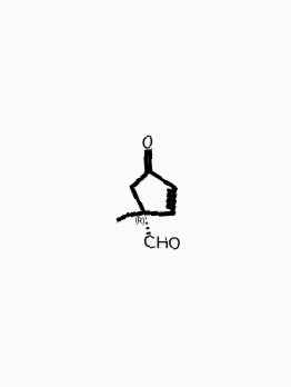 C[C@]1(C=O)C=CC(=O)C1